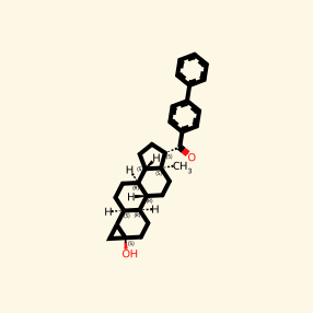 C[C@]12CC[C@@H]3[C@H]4CC[C@]5(O)CC5[C@H]4CC[C@H]3[C@@H]1CC[C@@H]2C(=O)c1ccc(-c2ccccc2)cc1